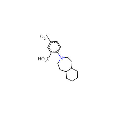 O=C(O)c1cc([N+](=O)[O-])ccc1N1CCC2CCCCC2CC1